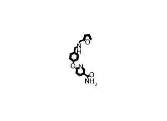 NC(=O)c1ccc(Oc2ccc(CNCc3ccco3)cc2)nc1